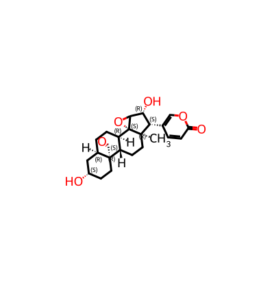 C[C@]12CC[C@H]3[C@@H](CC[C@@H]4C[C@@H](O)CC[C@@]43C=O)[C@]13OC3[C@H](O)[C@@H]2c1ccc(=O)oc1